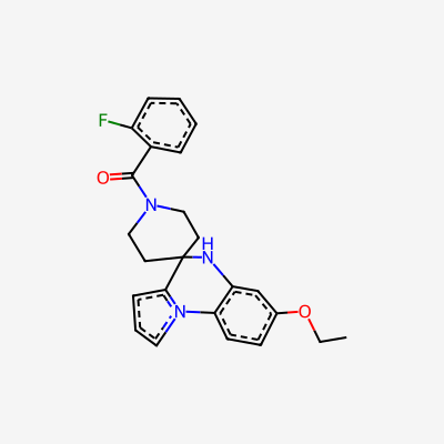 CCOc1ccc2c(c1)NC1(CCN(C(=O)c3ccccc3F)CC1)c1cccn1-2